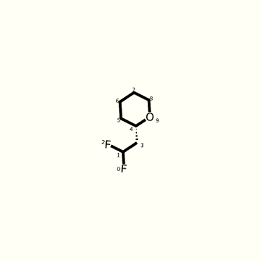 FC(F)C[C@@H]1CCCCO1